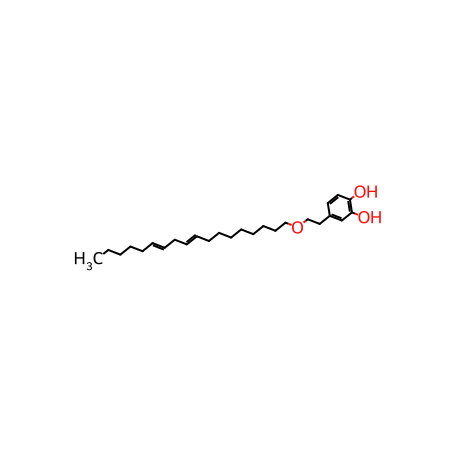 CCCCCC=CCC=CCCCCCCCCOCCc1ccc(O)c(O)c1